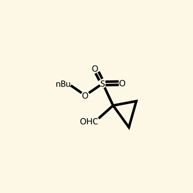 CCCCOS(=O)(=O)C1(C=O)CC1